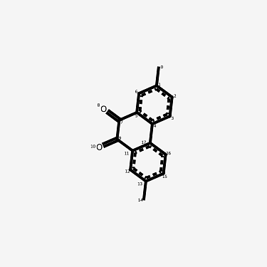 Cc1ccc2c(c1)C(=O)C(=O)c1cc(C)ccc1-2